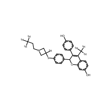 [2H]C([2H])([2H])CCN1CC([2H])(Sc2ccc(C3Oc4cc(O)ccc4C(C([2H])([2H])[2H])=C3c3ccc(O)cc3)cc2)C1